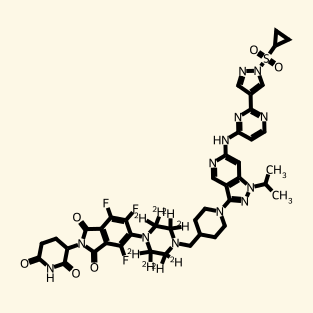 [2H]C1([2H])N(CC2CCN(c3nn(C(C)C)c4cc(Nc5ccnc(-c6cnn(S(=O)(=O)C7CC7)c6)n5)ncc34)CC2)C([2H])([2H])C([2H])([2H])N(c2c(F)c(F)c3c(c2F)C(=O)N(C2CCC(=O)NC2=O)C3=O)C1([2H])[2H]